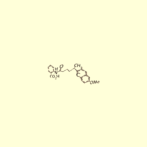 COc1ccc2cc(C(C)CCCC(=O)Nc3ccccc3C(=O)O)ccc2c1